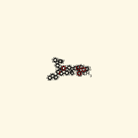 CC1Cc2c(cccc2N(c2ccc3c(c2)C2(CC4CCC2C4)c2cc(-c4ccc(N(c5ccc(-c6cccc7c6ccc6ccccc67)cc5)c5ccc6c(c5)C5(CC7CCC5C7)c5ccccc5-6)c(-c5ccccc5-c5ccccc5-c5ccccc5)c4)ccc2-3)c2ccccc2-c2ccccc2-c2ccccc2-c2ccccc2)-c2ccccc21